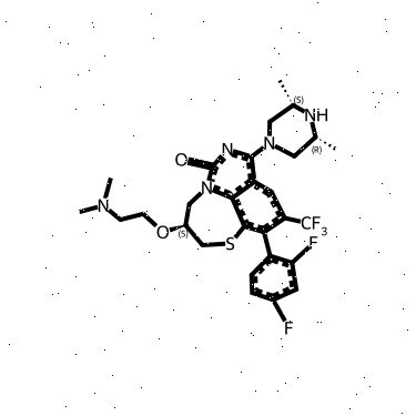 C[C@@H]1CN(c2nc(=O)n3c4c(c(-c5ccc(F)cc5F)c(C(F)(F)F)cc24)SC[C@@H](OCCN(C)C)C3)C[C@H](C)N1